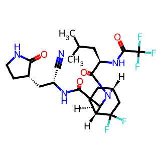 CC(C)C[C@@H](NC(=O)C(F)(F)F)C(=O)N1[C@@H]2CC[C@H]([C@H]1C(=O)N[C@@H](C#N)C[C@@H]1CCNC1=O)C(F)(F)C2